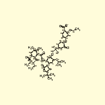 CC(C)Oc1cc(-n2nc(C(C)(C)C)oc2=O)c(Cl)cc1Cl.CCC(CC)Nc1c([N+](=O)[O-])cc(C)c(C)c1[N+](=O)[O-].CCOc1cc(Oc2ccc(C(F)(F)F)cc2Cl)ccc1[N+](=O)[O-]